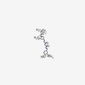 CCC(C)(C)CC(=O)O[C@@H]1CCC(/C=C/C(=O)CC(=O)/C=C/C2CCC(O)C(OC)C2)CC1OC